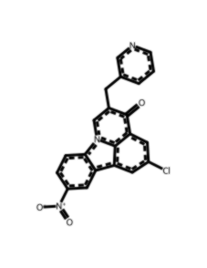 O=c1c(Cc2cccnc2)cn2c3ccc([N+](=O)[O-])cc3c3cc(Cl)cc1c32